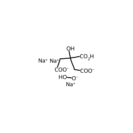 O=C([O-])CC(O)(CC(=O)[O-])C(=O)O.[Na+].[Na+].[Na+].[O-]O